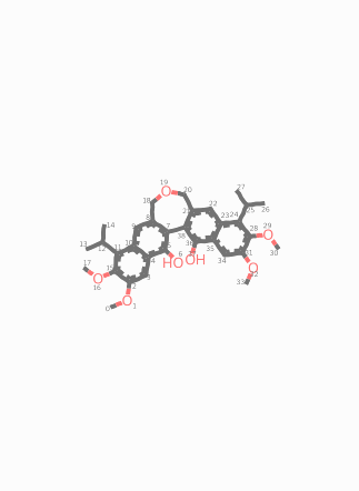 COc1cc2c(O)c3c(cc2c(C(C)C)c1OC)COCc1cc2c(C(C)C)c(OC)c(OC)cc2c(O)c1-3